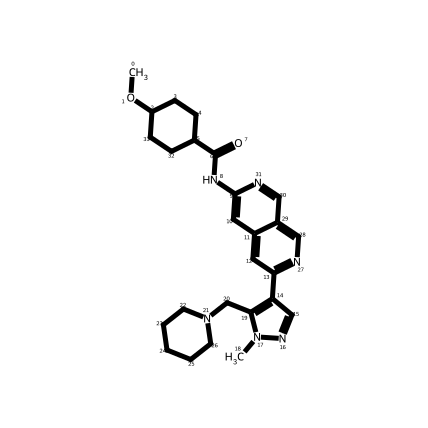 COC1CCC(C(=O)Nc2cc3cc(-c4cnn(C)c4CN4CCCCC4)ncc3cn2)CC1